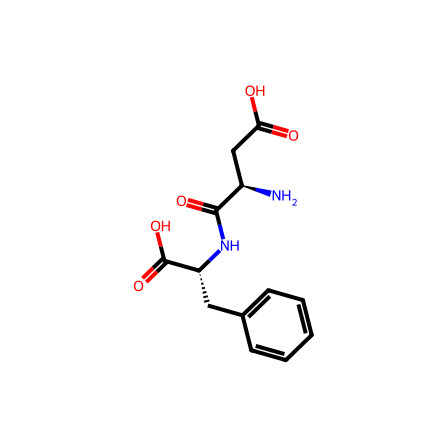 N[C@H](CC(=O)O)C(=O)N[C@H](Cc1ccccc1)C(=O)O